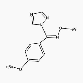 CCCCOc1ccc(C(=NOC(C)C)n2cncn2)cc1